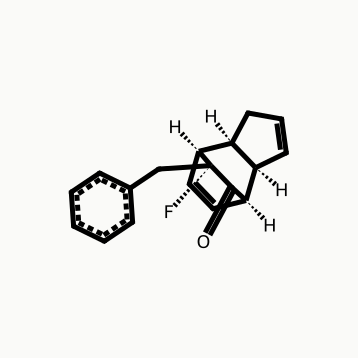 O=C1[C@@H]2C=C[C@@H]([C@H]3CC=C[C@H]32)[C@]1(F)Cc1ccccc1